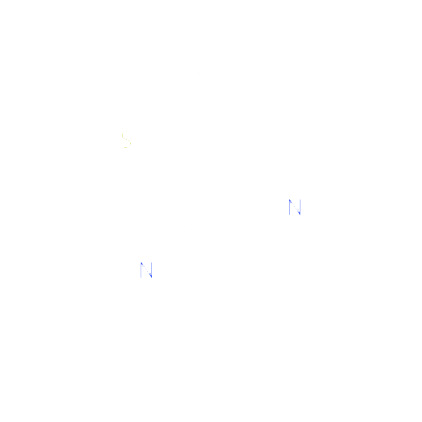 c1cnc2c(c1)ncc1ccsc12